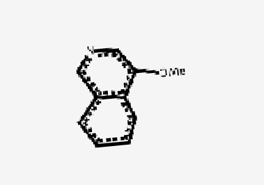 COc1cncc2ccccc12